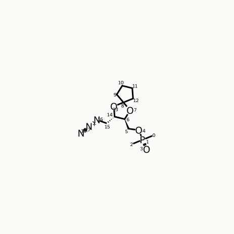 CP(C)(=O)OC[C@@H]1OC2(CCCC2)O[C@H]1CN=[N+]=[N-]